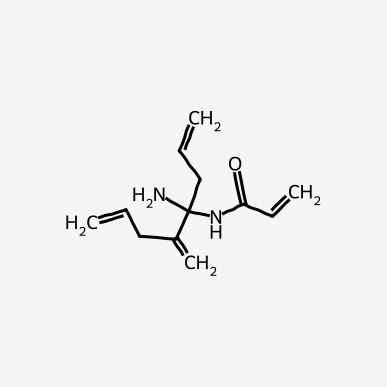 C=CCC(=C)C(N)(CC=C)NC(=O)C=C